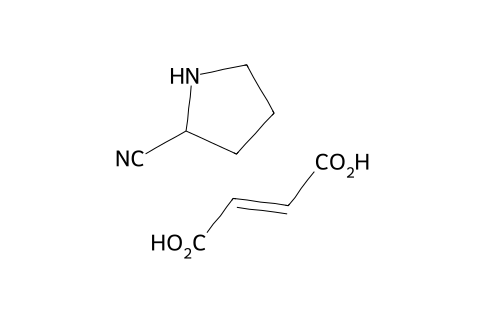 N#CC1CCCN1.O=C(O)C=CC(=O)O